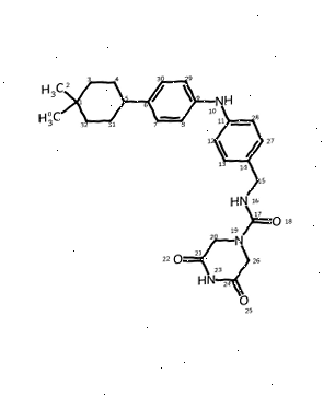 CC1(C)CCC(c2ccc(Nc3ccc(CNC(=O)N4CC(=O)NC(=O)C4)cc3)cc2)CC1